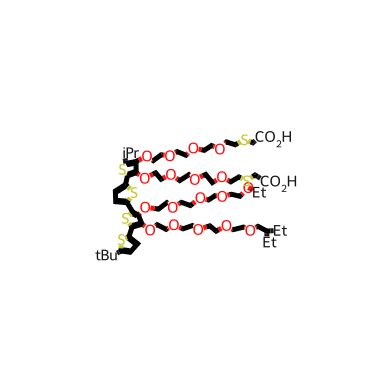 CCOCCOCCOCCOCCOc1c(-c2ccc(-c3sc(C(C)C)c(OCCOCCOCCOCCSCC(=O)O)c3OCCOCCOCCOCCSCC(=O)O)s2)sc(-c2ccc(C(C)(C)C)s2)c1OCCOCCOCCOCCOCC(CC)CC